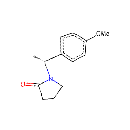 COc1ccc([C@@H](C)N2CCCC2=O)cc1